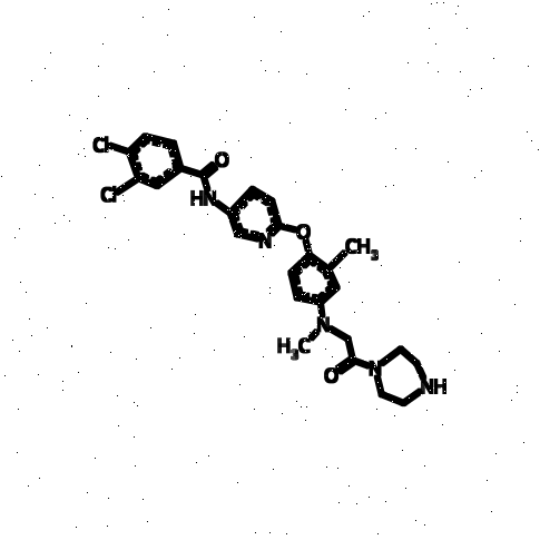 Cc1cc(N(C)CC(=O)N2CCNCC2)ccc1Oc1ccc(NC(=O)c2ccc(Cl)c(Cl)c2)cn1